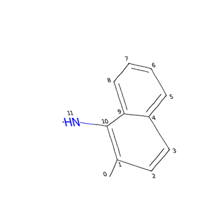 Cc1ccc2ccccc2c1[NH]